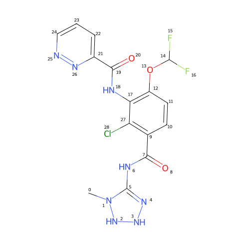 CN1NNN=C1NC(=O)c1ccc(OC(F)F)c(NC(=O)c2cccnn2)c1Cl